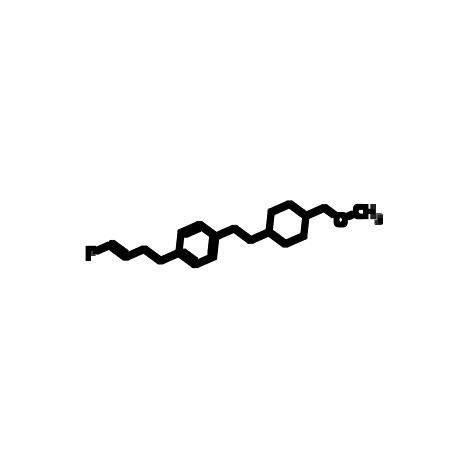 COCC1CCC(CCc2ccc(CC/C=C/F)cc2)CC1